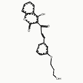 O=C(/C=C/c1cccc(OCCCO)c1)c1c(O)c2ccccc2oc1=O